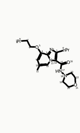 CCCc1nc2c(OCCC(C)C)cc(C)cn2c1C(=O)NN1CCOCC1